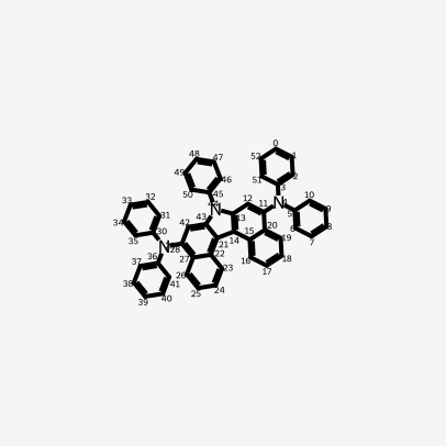 c1ccc(N(c2ccccc2)c2cc3c(c4ccccc24)c2c4ccccc4c(N(c4ccccc4)c4ccccc4)cc2n3-c2ccccc2)cc1